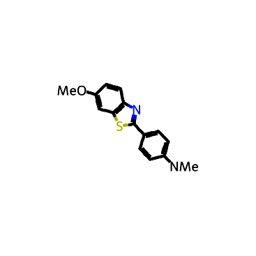 CNc1ccc(-c2nc3ccc(O[11CH3])cc3s2)cc1